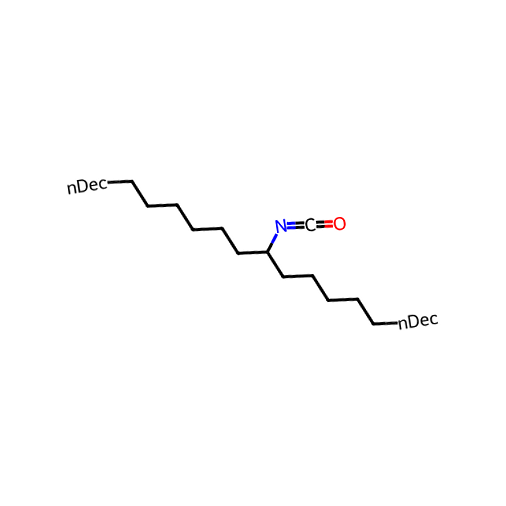 CCCCCCCCCCCCCCCCC(CCCCCCCCCCCCCCC)N=C=O